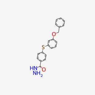 NNC(=O)c1ccc(Sc2cccc(OCc3ccccc3)c2)cc1